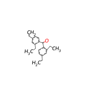 C=Cc1ccc(C(=O)c2ccc(C=C)cc2CC)c(CC)c1